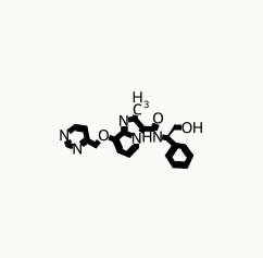 CC1N=C2C(OCc3ccncn3)=CC=CN2C1C(=O)N[C@@H](CO)c1ccccc1